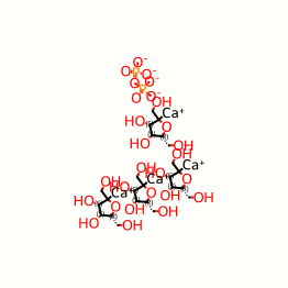 O=P([O-])([O-])OP(=O)([O-])[O-].OC[C@H]1O[C]([Ca+])(CO)[C@@H](O)[C@@H]1O.OC[C@H]1O[C]([Ca+])(CO)[C@@H](O)[C@@H]1O.OC[C@H]1O[C]([Ca+])(CO)[C@@H](O)[C@@H]1O.OC[C@H]1O[C]([Ca+])(CO)[C@@H](O)[C@@H]1O